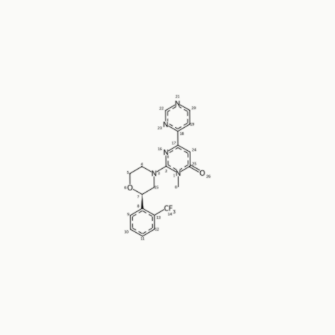 Cn1c(N2CCO[C@H](c3ccccc3C(F)(F)F)C2)nc(-c2ccncn2)cc1=O